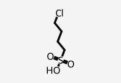 O=S(=O)(O)CCCCCl